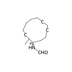 CC1CCCCCCCCCC[C@H]1NC=O